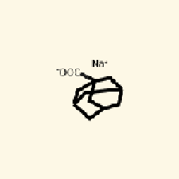 O=C([O-])C12CC3CC(CC(C3)C1)C2.[Na+]